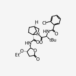 CCO[C@H]1CC(=O)O[C@@H]1NC(=O)[C@@]12CC[C@@H](CN1C(=O)[C@@H](NC(=O)c1ccccc1Cl)C(C)(C)C)C2